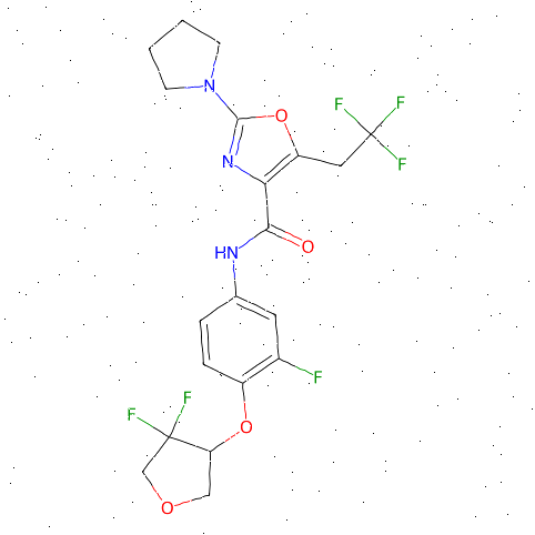 O=C(Nc1ccc(OC2COCC2(F)F)c(F)c1)c1nc(N2CCCC2)oc1CC(F)(F)F